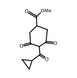 COC(=O)C1CC(=O)C(C(=O)C2CC2)C(=O)C1